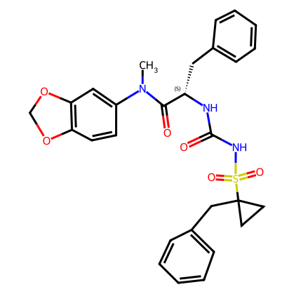 CN(C(=O)[C@H](Cc1ccccc1)NC(=O)NS(=O)(=O)C1(Cc2ccccc2)CC1)c1ccc2c(c1)OCO2